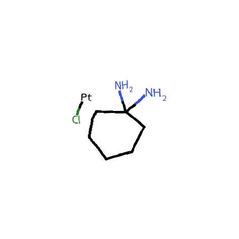 NC1(N)CCCCC1.[Cl][Pt]